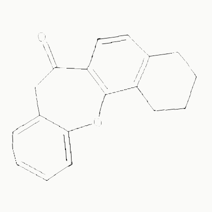 O=C1Cc2ccccc2Oc2c1ccc1c2CCCC1